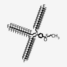 CCCSC(=O)c1ccc([Si](CCC(F)(F)C(F)(F)C(F)(F)C(F)(F)C(F)(F)C(F)(F)C(F)(F)C(F)(F)C(F)(F)C(F)(F)F)(CCC(F)(F)C(F)(F)C(F)(F)C(F)(F)C(F)(F)C(F)(F)C(F)(F)C(F)(F)C(F)(F)C(F)(F)F)CCC(F)(F)C(F)(F)C(F)(F)C(F)(F)C(F)(F)C(F)(F)C(F)(F)C(F)(F)C(F)(F)C(F)(F)F)cc1